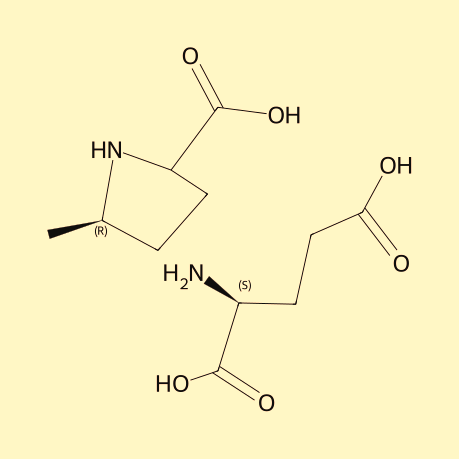 C[C@@H]1CCC(C(=O)O)N1.N[C@@H](CCC(=O)O)C(=O)O